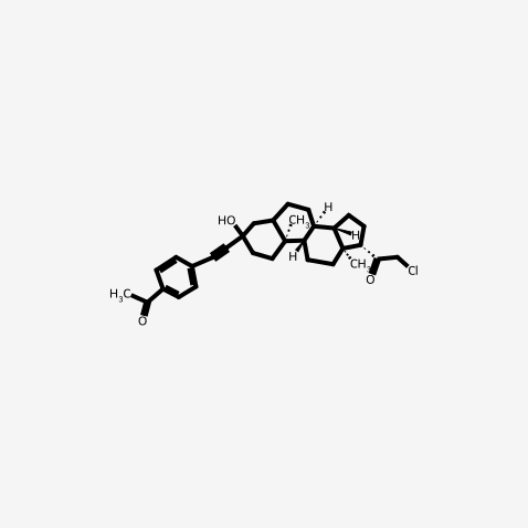 CC(=O)c1ccc(C#CC2(O)CC[C@@]3(C)C(CC[C@H]4[C@@H]5CC[C@H](C(=O)CCl)[C@@]5(C)CC[C@@H]43)C2)cc1